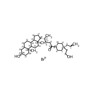 C=CC[N+]1(CCO)CCN(C(=O)CCC(C)[C@H]2CCC3C4CCC5C[C@H](O)CC[C@]5(C)C4CC[C@@]32C)CC1.[Br-]